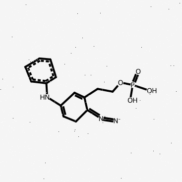 [N-]=[N+]=C1CC=C(Nc2ccccc2)C=C1CCOP(=O)(O)O